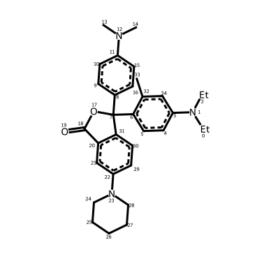 CCN(CC)c1ccc(C2(c3ccc(N(C)C)cc3)OC(=O)c3cc(N4CCCCC4)ccc32)c(C)c1